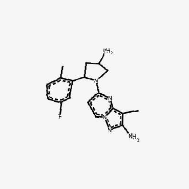 Cc1ccc(F)cc1C1CC(P)CN1c1ccn2nc(N)c(C)c2n1